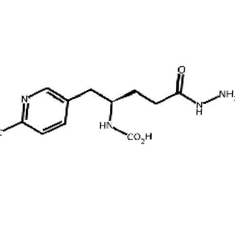 NNC(=O)CC[C@H](Cc1ccc(C(F)(F)F)nc1)NC(=O)O